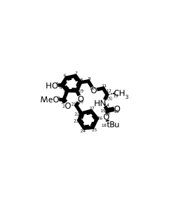 COC(=O)c1c(O)ccc(COC[C@H](C)NC(=O)OC(C)(C)C)c1OCc1ccccc1